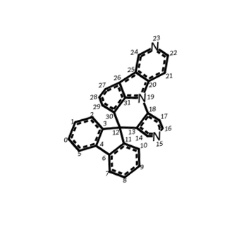 c1ccc2c(c1)-c1ccccc1C21c2cnccc2-n2c3ccncc3c3cccc1c32